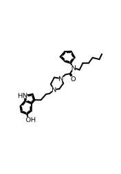 CCCCCCN(C(=O)CN1CCN(CCCc2c[nH]c3ccc(O)cc23)CC1)c1ccccc1